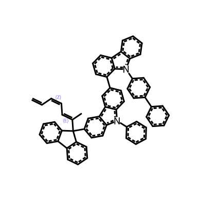 C=C/C=C\C=C(/C)C1(c2ccc3c(c2)c2cc(-c4cccc5c6ccccc6n(-c6ccc(-c7ccccc7)cc6)c45)ccc2n3-c2ccccc2)c2ccccc2-c2ccccc21